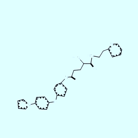 NC(CCC(=O)Nc1ccc(Oc2ccc(-n3cccc3)cc2)cc1)C(=O)NCCc1ccccn1